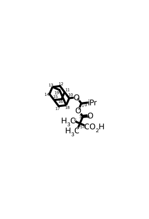 CC(C)C(OC(=O)C(C)(C)C(=O)O)OC1C2CC3CC(C2)CC1C3